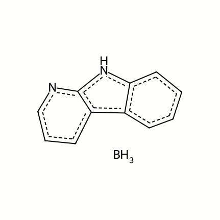 B.c1ccc2c(c1)[nH]c1ncccc12